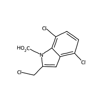 O=C(O)n1c(CCl)cc2c(Cl)ccc(Cl)c21